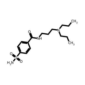 CCCN(CCC)CCCNC(=O)c1ccc(S(N)(=O)=O)cc1